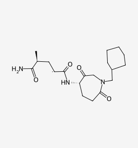 C[C@@H](C[CH]C(=O)N[C@H]1CCC(=O)N(CC2CCCCC2)CC1=O)C(N)=O